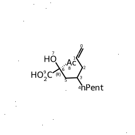 C=CCC(CCCCC)C[C@@](O)(C(C)=O)C(=O)O